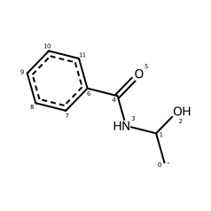 [CH2]C(O)NC(=O)c1ccccc1